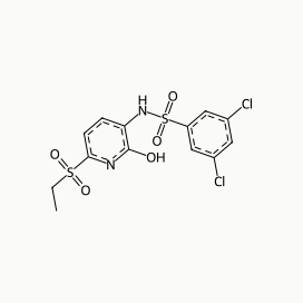 CCS(=O)(=O)c1ccc(NS(=O)(=O)c2cc(Cl)cc(Cl)c2)c(O)n1